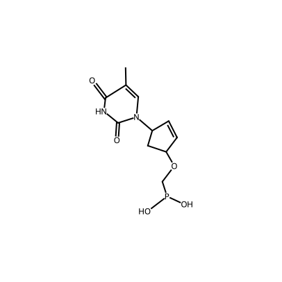 Cc1cn(C2C=CC(OCP(O)O)C2)c(=O)[nH]c1=O